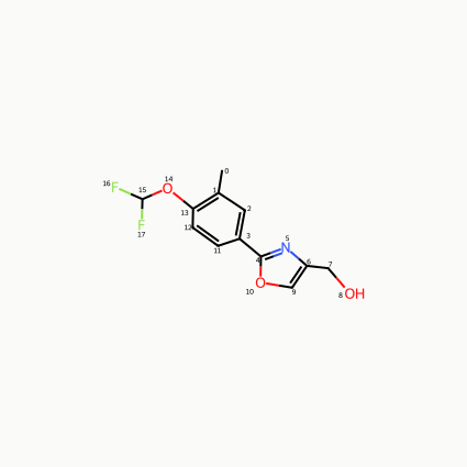 Cc1cc(-c2nc(CO)co2)ccc1OC(F)F